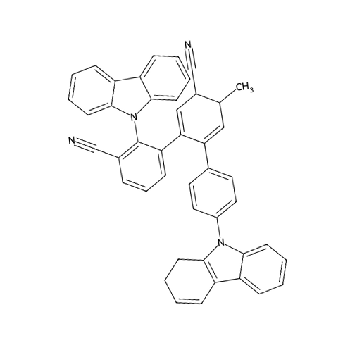 CC1C=C(c2ccc(-n3c4c(c5ccccc53)C=CCC4)cc2)C(c2cccc(C#N)c2-n2c3ccccc3c3ccccc32)=CC1C#N